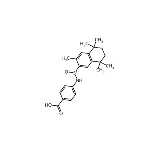 Cc1cc2c(cc1[S+]([O-])Nc1ccc(C(=O)O)cc1)C(C)(C)CCC2(C)C